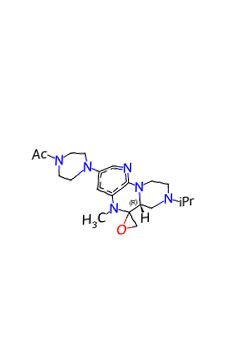 CC(=O)N1CCN(c2cnc3c(c2)N(C)C2(CO2)[C@H]2CN(C(C)C)CCN32)CC1